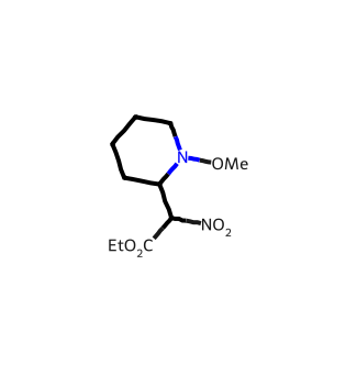 CCOC(=O)C(C1CCCCN1OC)[N+](=O)[O-]